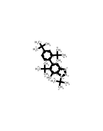 CC(C)(C)c1ccc(-c2cc3nnn(C(C)(C)C)c3c(O)c2C(C)(C)C)c(C(C)(C)C)c1